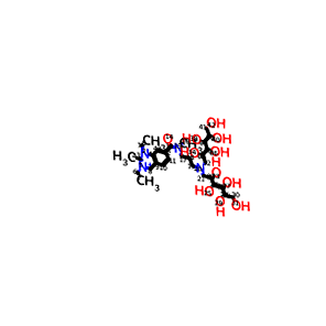 CCN1C(C)=[N+](CC)Cc2ccc(C(=O)N(C)CCCN(C[C@H](O)[C@@H](O)[C@H](O)[C@H](O)CO)C[C@H](O)[C@@H](O)[C@H](O)[C@H](O)CO)cc21